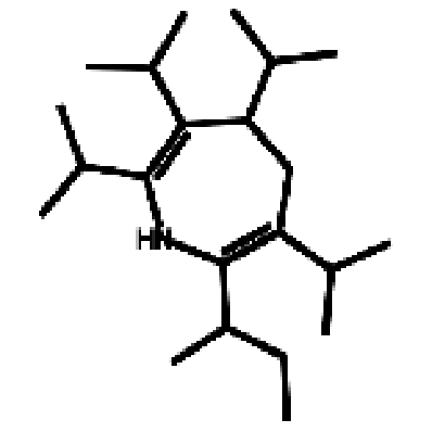 CCC(C)C1=C(C(C)C)CC(C(C)C)C(C(C)C)=C(C(C)C)N1